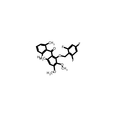 COc1cc(C)c(C(=O)c2c(C)cccc2C)c(OCc2c(F)cc(F)cc2F)c1OC